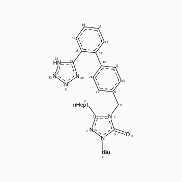 CCCCCCCc1nn(C(C)(C)C)c(=O)n1Cc1ccc(-c2ccccc2-c2nnn[nH]2)cc1